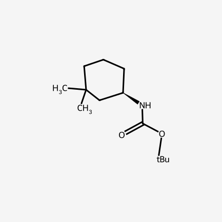 CC1(C)CCC[C@@H](NC(=O)OC(C)(C)C)C1